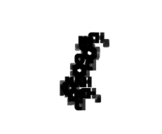 Cn1ncc2c(Oc3ccc(Nc4ncnc5cc(Cl)n(C)c45)cc3Cl)cccc21